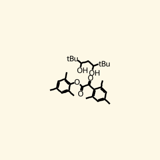 CC(C)(C)C(O)CC(O)C(C)(C)C.Cc1cc(C)c(OC(=O)C(=O)c2c(C)cc(C)cc2C)c(C)c1